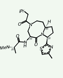 CN[C@@H](C)C(=O)N[C@H]1CN(C(=O)CC(C)C)CC[C@H]2CC[C@@H](c3nc(C)cs3)N2C1=O